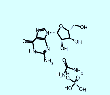 NC(N)=O.Nc1nc2c(ncn2[C@@H]2O[C@H](CO)[C@@H](O)[C@H]2O)c(=O)[nH]1.O=P(O)(O)O